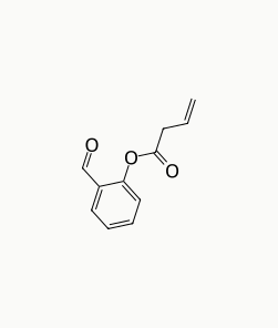 C=CCC(=O)Oc1ccccc1C=O